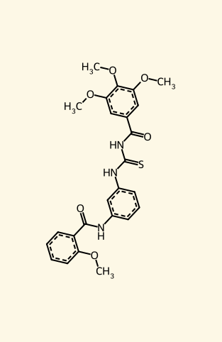 COc1ccccc1C(=O)Nc1cccc(NC(=S)NC(=O)c2cc(OC)c(OC)c(OC)c2)c1